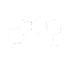 O=C1Nc2ccc(Cl)cc2C1=Cc1ccccc1O